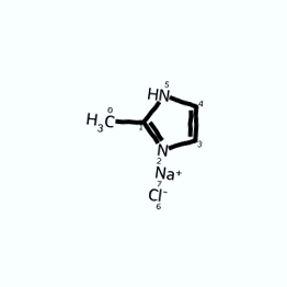 Cc1ncc[nH]1.[Cl-].[Na+]